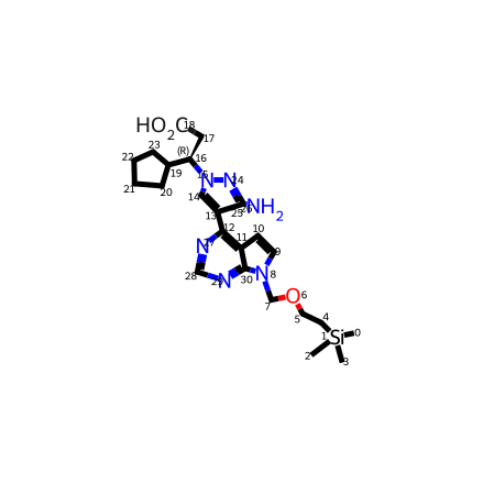 C[Si](C)(C)CCOCn1ccc2c(-c3cn([C@H](CC(=O)O)C4CCCC4)nc3N)ncnc21